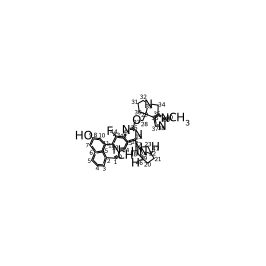 C#Cc1cccc2cc(O)cc(-c3ncc4c(N5C[C@H]6CC[C@@H](C5)N6)nc(OCC56CCCN5Cc5c6cnn5C)nc4c3F)c12